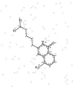 CCN(CC)CCCCc1nc2c(C)cccc2c(=O)[nH]1